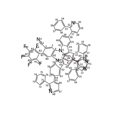 N#Cc1cc(-n2c3ccc(-c4cccnc4-c4ccccc4)cc3c3cc(-c4cccnc4-c4ccccc4)ccc32)c(-n2c3ccc(-c4cccnc4-c4ccccc4)cc3c3cc(-c4cccnc4-c4ccccc4)ccc32)cc1-c1c(F)c(F)c(F)c(F)c1F